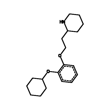 c1ccc(OC2CCCCC2)c(OCCC2CCCCN2)c1